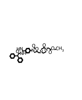 CCOC(=O)CN1CCN(CC2CN(c3ccc(C(=N)NC(=O)C(c4ccccc4)c4ccccc4)cc3)C(=O)O2)CC1=O